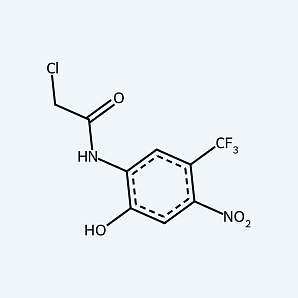 O=C(CCl)Nc1cc(C(F)(F)F)c([N+](=O)[O-])cc1O